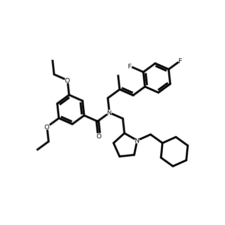 CCOc1cc(OCC)cc(C(=O)N(CC(C)=Cc2ccc(F)cc2F)CC2CCCN2CC2CCCCC2)c1